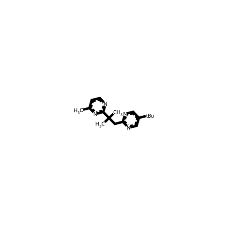 Cc1ccnc(C(C)(C)Cc2ncc(C(C)(C)C)cn2)n1